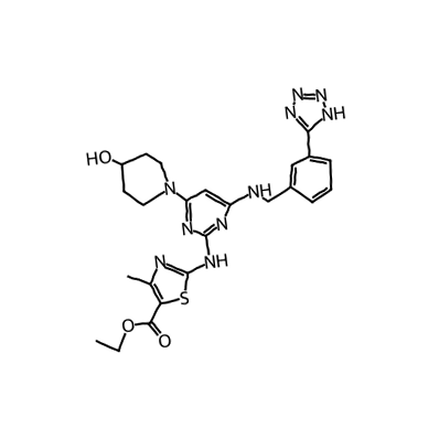 CCOC(=O)c1sc(Nc2nc(NCc3cccc(-c4nnn[nH]4)c3)cc(N3CCC(O)CC3)n2)nc1C